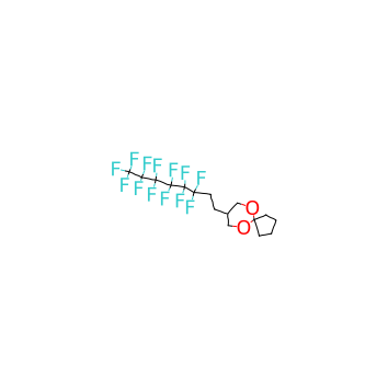 FC(F)(F)C(F)(F)C(F)(F)C(F)(F)C(F)(F)C(F)(F)CCC1COC2(CCCC2)OC1